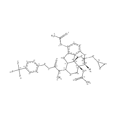 CC(=O)Oc1ccc2c3c1OC1C(N(C)C(=O)CCc4ccc(C(F)(F)F)cc4)CC[C@@]4(OC(C)=O)[C@@H](C2)N(CC2CC2)CC[C@]314